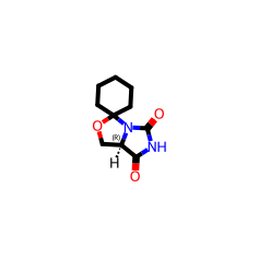 O=C1NC(=O)N2[C@@H]1COC21CCCCC1